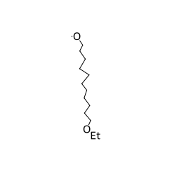 CCOCCCCCCCCCCC[O]